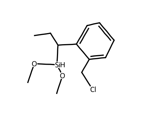 CCC(c1ccccc1CCl)[SiH](OC)OC